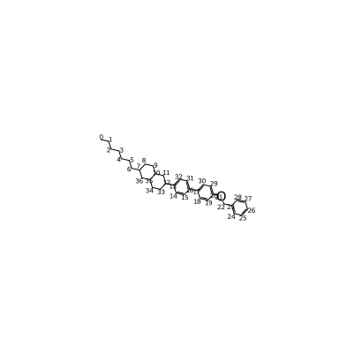 CCCCCCCC1CCC2CC(c3ccc(-c4ccc(OCc5ccccc5)cc4)cc3)CCC2C1